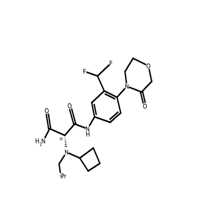 CC(C)CN(C1CCC1)[C@H](C(N)=O)C(=O)Nc1ccc(N2CCOCC2=O)c(C(F)F)c1